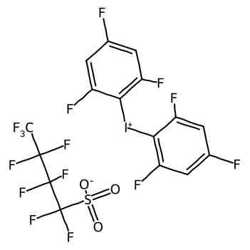 Fc1cc(F)c([I+]c2c(F)cc(F)cc2F)c(F)c1.O=S(=O)([O-])C(F)(F)C(F)(F)C(F)(F)C(F)(F)F